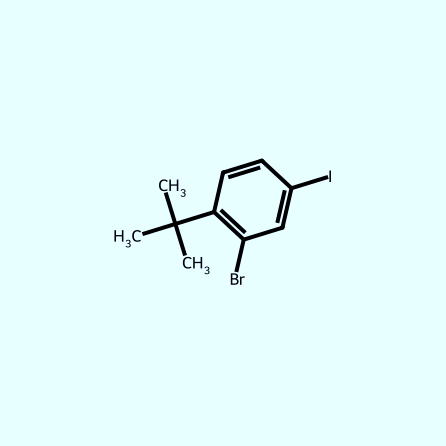 CC(C)(C)c1ccc(I)cc1Br